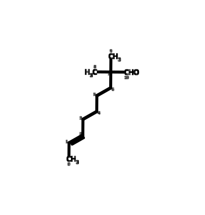 CC=CCCCCC(C)(C)C=O